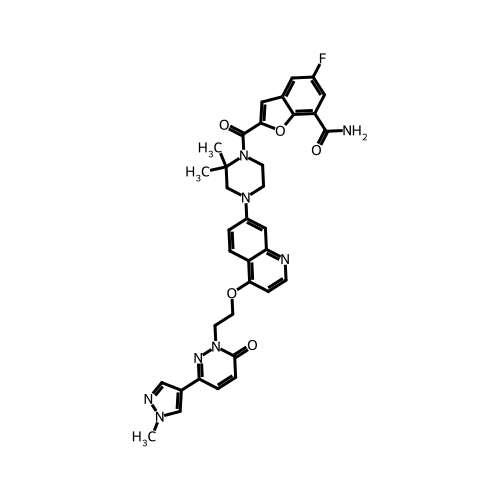 Cn1cc(-c2ccc(=O)n(CCOc3ccnc4cc(N5CCN(C(=O)c6cc7cc(F)cc(C(N)=O)c7o6)C(C)(C)C5)ccc34)n2)cn1